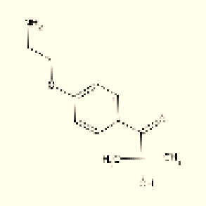 CC(C)(O)C(=O)c1ccc(OCCN)cc1